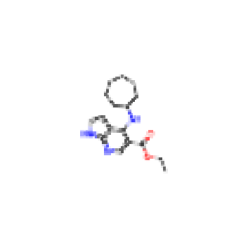 CCOC(=O)c1cnc2[nH]ccc2c1NC1CCCCCC1